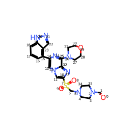 O=CN1CCN(CS(=O)(=O)c2cn3cc(-c4cccc5[nH]ncc45)nc(N4CCOCC4)c3n2)CC1